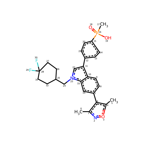 Cc1noc(C)c1-c1ccc2c(-c3ccc(P(C)(=O)O)cc3)cn(CC3CCC(F)(F)CC3)c2c1